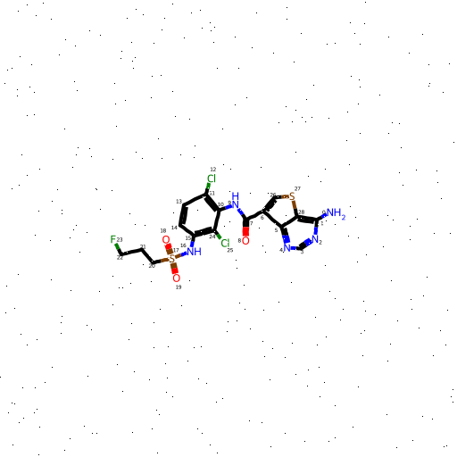 Nc1ncnc2c(C(=O)Nc3c(Cl)ccc(NS(=O)(=O)CCCF)c3Cl)csc12